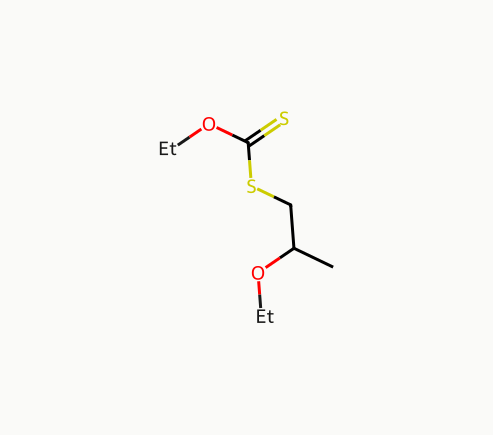 CCOC(=S)SCC(C)OCC